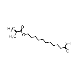 C=C(C)C(=O)OCCCCCCCCCCC(=O)S